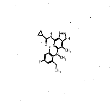 CCc1cc(F)cc(F)c1N(C)c1nc(NC(=O)C2CC2)c2nc[nH]c2c1C